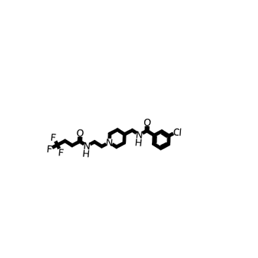 O=C(CCC(F)(F)F)NCCN1CCC(CNC(=O)c2cccc(Cl)c2)CC1